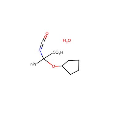 CCCC(N=C=O)(OC1CCCC1)C(=O)O.O